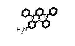 Nc1ccc2c(c1)N(c1ccccc1)c1cccc3c1B2c1ccccc1N3c1ccccc1